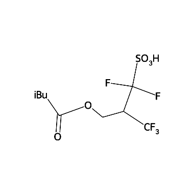 CCC(C)C(=O)OCC(C(F)(F)F)C(F)(F)S(=O)(=O)O